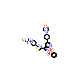 CN1CCC(c2nc(-c3cn(S(=O)(=O)c4ccccc4)c4ncc(C5CCC(N6CCOCC6)CC5)cc34)cs2)CC1